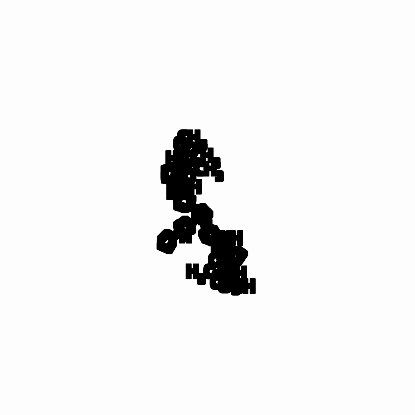 COC(=O)N[C@H](C(=O)N1CCC[C@H]1c1nc2ccc([C@H]3CC[C@H](c4ccc5nc([C@@H]6CCCN6C(=O)[C@@H](NC(=O)O)C(C)C)[nH]c5c4)N3c3ccc(C4CCCCC4)nc3)cc2[nH]1)C(C)C